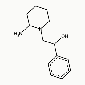 NC1CCCCN1CC(O)c1ccccc1